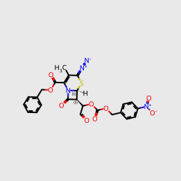 CC1=C(C(=O)OCc2ccccc2)N2C(=O)[C@H](C(C=O)OC(=O)OCc3ccc([N+](=O)[O-])cc3)[C@@H]2SC1=[N+]=[N-]